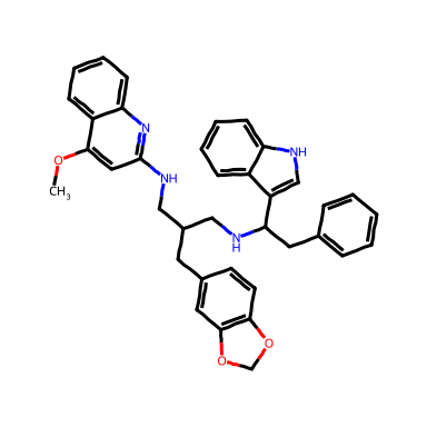 COc1cc(NCC(CNC(Cc2ccccc2)c2c[nH]c3ccccc23)Cc2ccc3c(c2)OCO3)nc2ccccc12